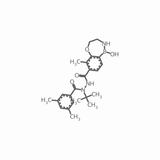 Cc1cc(C)cc(C(=O)N(NC(=O)c2ccc3c(c2C)OCCNB3O)C(C)(C)C)c1